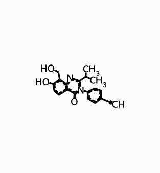 C#Cc1ccc(-n2c(C(C)C)nc3c(CO)c(O)ccc3c2=O)cc1